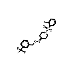 O=S(=O)(c1ccccc1F)N1CCC(=NOCc2cccc(C(F)(F)F)c2)CC1